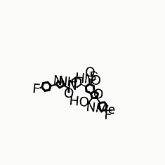 CN[C@H](O)c1c(-c2ccc(F)cc2)oc2cc(NS(C)(=O)=O)c([C@@H]3CCCN(C(=O)c4cc(-c5ccc(F)cc5)n[nH]4)C3)cc12